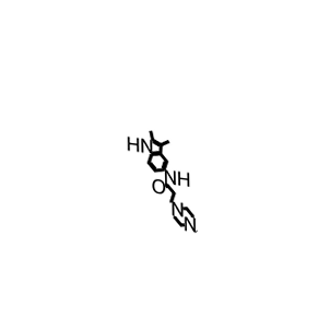 Cc1[nH]c2ccc(NC(=O)CCN3CCN(C)CC3)cc2c1C